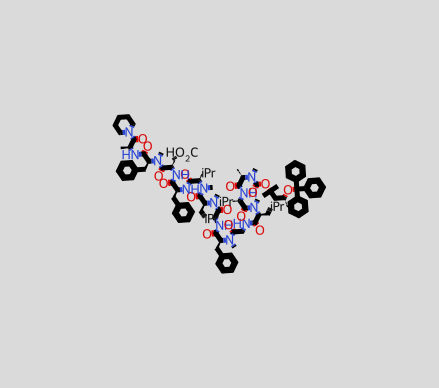 CC(C)C[C@@H](C(=O)N(C)[C@H](C(=O)N[C@@H](Cc1ccccc1)C(=O)N[C@@H](CC(=O)O)C(=O)N(C)[C@@H](Cc1ccccc1)C(=O)N[C@@H](C)C(=O)N1CCCCC1)C(C)C)N(C)C(=O)CNC(=O)[C@H](Cc1ccccc1)N(C)C(=O)CNC(=O)[C@H](CC(C)C)N(C)C(=O)[C@@H](NC(=O)[C@H](C)N(C)C(=O)OC(C)(C)C[C@@H](C)OC(c1ccccc1)(c1ccccc1)c1ccccc1)C(C)C